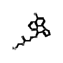 CCOC(=O)CON=c1c2nccc3c(Cl)ccc(c32)n2cccc12